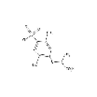 Cc1cc(S(=O)(=O)Cl)c(C)cc1OC(C)C(=O)O